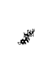 COc1ccc(-c2c(C)nn3c(N[C@@H](CC#N)C(F)(F)F)cc(C)nc23)c(C)c1